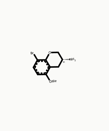 COc1ccc(Br)c2c1C[C@@H](N)CO2